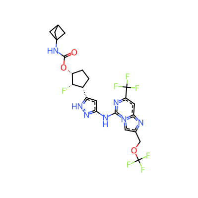 O=C(NC12CC(C1)C2)O[C@@H]1CC[C@H](c2cc(Nc3nc(C(F)(F)F)cc4nc(COC(F)(F)F)cn34)n[nH]2)[C@@H]1F